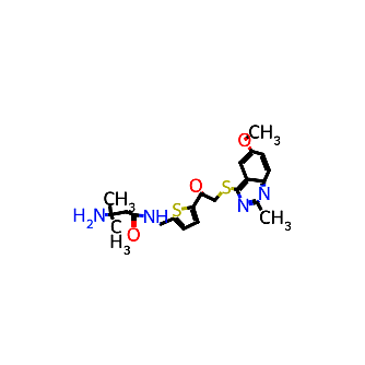 COc1ccc2nc(C)nc(SCC(=O)c3ccc(CNC(=O)CC(C)(C)N)s3)c2c1